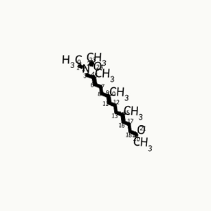 CCN(C/C(C)=C/CC/C(C)=C/CC/C(C)=C/CCC(C)=O)C(C)=O